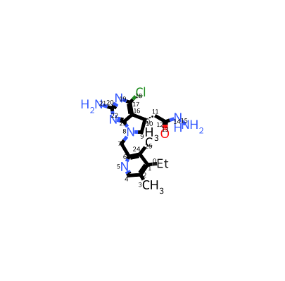 CCc1c(C)cnc(CN2C[C@@H](CC(=O)NN)c3c(Cl)nc(N)nc32)c1C